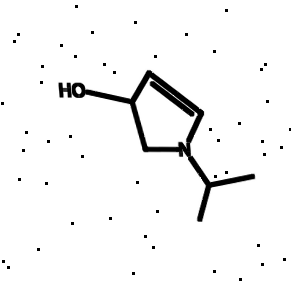 CC(C)N1C=CC(O)C1